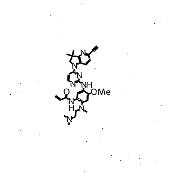 C#Cc1ccc2c(n1)C(C)(C)CN2c1ccnc(Nc2cc(NC(=O)C=C)c(N(C)CCN(C)C)cc2OC)n1